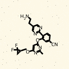 Cc1nc(OCC2CC2(F)F)cc(Oc2cc(C#N)ccc2-c2ncc(CCN)cn2)n1